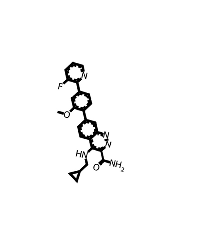 COc1cc(-c2ncccc2F)ccc1-c1ccc2c(NCC3CC3)c(C(N)=O)nnc2c1